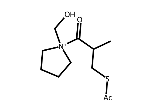 CC(=O)SCC(C)C(=O)[N+]1(CO)CCCC1